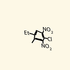 CCc1cc([N+](=O)[O-])c(Cl)c([N+](=O)[O-])c1C